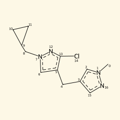 Cn1cc(Cc2cn(CC3CC3)nc2Cl)cn1